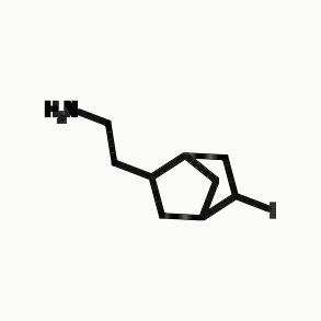 NCCC1CC2CC1CC2I